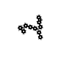 c1ccc(-c2ccc(N(c3ccc(-c4ccc(-c5cccc(-n6c7ccccc7c7ccccc76)c5)cc4)cc3)c3cccc(-c4ccc5c(c4)oc4ccccc45)c3)cc2)cc1